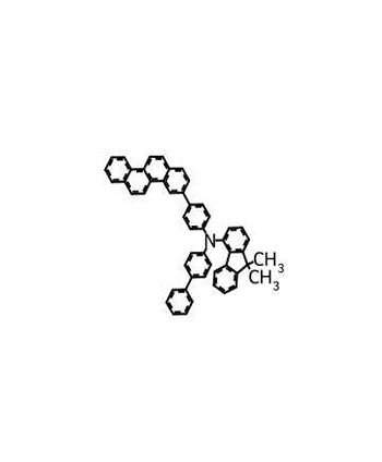 CC1(C)c2ccccc2-c2c(N(c3ccc(-c4ccccc4)cc3)c3ccc(-c4ccc5ccc6c7ccccc7ccc6c5c4)cc3)cccc21